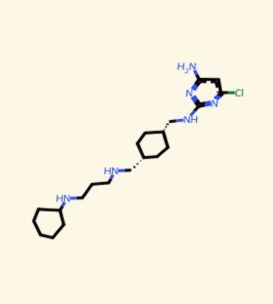 Nc1cc(Cl)nc(NC[C@H]2CC[C@@H](CNCCCNC3CCCCC3)CC2)n1